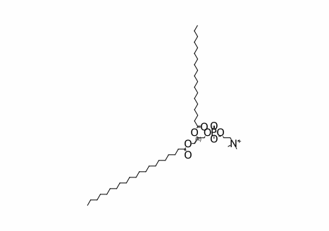 CCCCCCCCCCCCCCCCCCCCC(=O)OC[C@H](COP(=O)([O-])OCC[N+](C)(C)C)OC(=O)CCCCCCCCCCCCCCCCCC